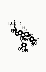 CC(C)=CCCC(C)C1CCC2C3CC(C(=O)Oc4ccc5c(c4)C(=O)OC5=O)C4C(C)(C)C(C(=O)c5ccc6c(c5)C(=O)OC6=O)CCC4(C)C3CCC12C